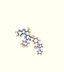 O=C1C(N2CCCC2)CCN1[C@H]1CC[C@H](Oc2cc(-n3c(C(F)F)nc4ccccc43)nc(N3CCOCC3)n2)CC1